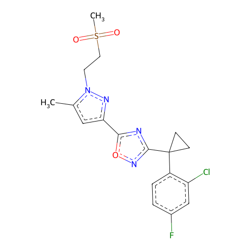 Cc1cc(-c2nc(C3(c4ccc(F)cc4Cl)CC3)no2)nn1CCS(C)(=O)=O